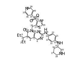 CCC(CC)c1cc2cnc(Nc3ccc(NC4CCCNC4)cc3)nc2n(Cc2scnc2S(=O)(=O)c2ccncc2)c1=O